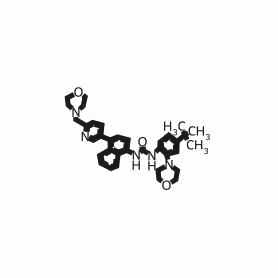 CC(C)(C)c1ccc(NC(=O)Nc2ccc(-c3ccc(CN4CCOCC4)nc3)c3ccccc23)c(N2CCOCC2)c1